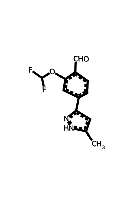 Cc1cc(-c2ccc(C=O)c(OC(F)F)c2)n[nH]1